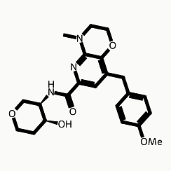 COc1ccc(Cc2cc(C(=O)N[C@@H]3COCC[C@@H]3O)nc3c2OCCN3C)cc1